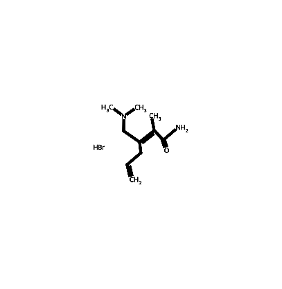 Br.C=CCC(CN(C)C)=C(C)C(N)=O